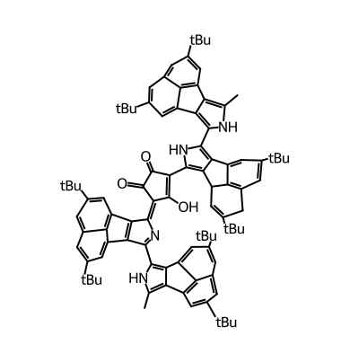 Cc1[nH]c(-c2[nH]c(C3=C(O)/C(=c4\nc(-c5[nH]c(C)c6c5-c5cc(C(C)(C)C)cc7cc(C(C)(C)C)cc-6c57)c5c6cc(C(C)(C)C)cc7cc(C(C)(C)C)cc(c4=5)c76)C(=O)C3=O)c3c2-c2cc(C(C)(C)C)cc4c2C3C=C(C(C)(C)C)C4)c2c1-c1cc(C(C)(C)C)cc3cc(C(C)(C)C)cc-2c13